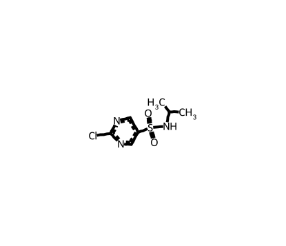 CC(C)NS(=O)(=O)c1cnc(Cl)nc1